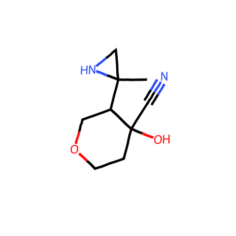 CC1(C2COCCC2(O)C#N)CN1